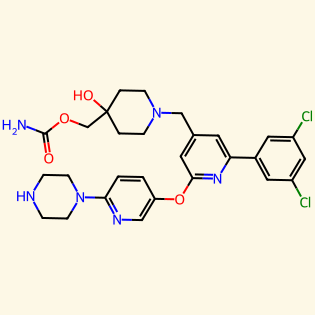 NC(=O)OCC1(O)CCN(Cc2cc(Oc3ccc(N4CCNCC4)nc3)nc(-c3cc(Cl)cc(Cl)c3)c2)CC1